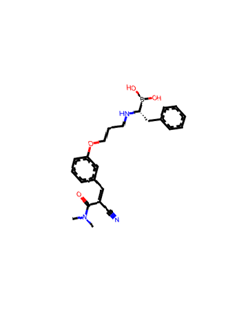 CN(C)C(=O)C(C#N)=Cc1cccc(OCCCN[C@@H](Cc2ccccc2)B(O)O)c1